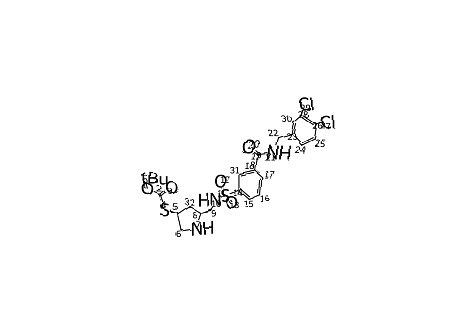 CC(C)(C)OC(=O)S[C@@H]1CN[C@H](CNS(=O)(=O)c2cccc(C(=O)NCc3ccc(Cl)c(Cl)c3)c2)C1